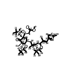 COC(=O)C[C@H](O[Si](C)(C)C(C)(C)C)[C@]1(C)C[C@@H](C/C(C)=C\C[C@H](O[Si](C)(C)C(C)(C)C)/C(C)=C/c2csc(C)n2)[C@H](O[Si](C)(C)C(C)(C)C)[C@@H](C)C1=O